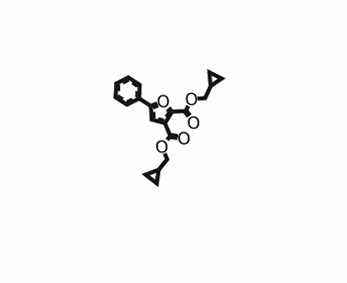 O=C(OCC1CC1)c1cc(-c2ccccc2)oc1C(=O)OCC1CC1